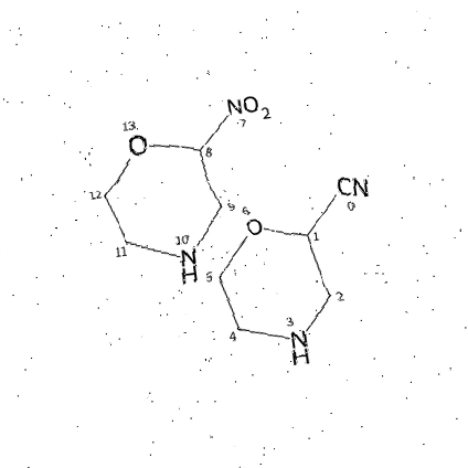 N#CC1CNCCO1.O=[N+]([O-])C1CNCCO1